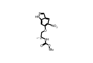 C[C@H](COc1cc2[nH]ncc2cc1[N+](=O)[O-])NC(=O)OC(C)(C)C